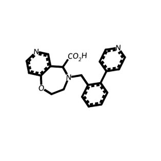 O=C(O)C1c2cnccc2OCCN1Cc1ccccc1-c1ccncc1